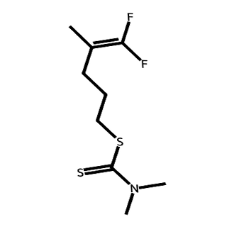 CC(CCCSC(=S)N(C)C)=C(F)F